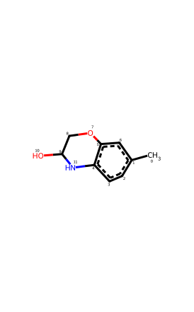 Cc1ccc2c(c1)OCC(O)N2